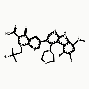 CNc1cc(F)c(F)c2c1[nH]c1ncc(-c3cnc4c(c3)c(=O)c(C(=O)O)cn4CC(C)(C)N)c(N3CCOCC3)c12